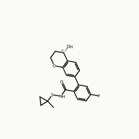 CC1(SNC(=O)c2ccc(F)cc2-c2ccc3c(c2)OCC[C@@H]3O)CC1